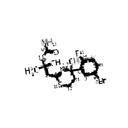 CC(C)(CC1=N[C@](C)(c2cc(Br)ccc2F)CCS1)OC(N)=O